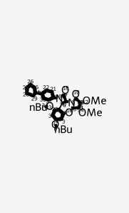 CCCCOc1ccc([C@@H]2C(N3C(=O)[C@H](OC)[C@@H](OC)C3=O)C(=O)N2c2ccc(-c3ccccc3)cc2)c(OCCCC)c1